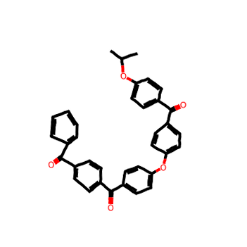 CC(C)Oc1ccc(C(=O)c2ccc(Oc3ccc(C(=O)c4ccc(C(=O)c5ccccc5)cc4)cc3)cc2)cc1